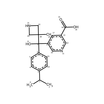 CC(C)c1ccc(C(O)(c2cncc(C(=O)O)c2)C2(C)CNC2)cc1